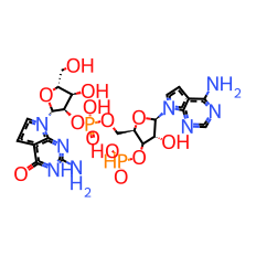 Nc1nc2c(ccn2[C@@H]2O[C@H](CO)[C@@H](O)[C@H]2OP(=O)(O)OC[C@H]2O[C@@H](n3ccc4c(N)ncnc43)[C@H](O)C2O[PH](=O)O)c(=O)[nH]1